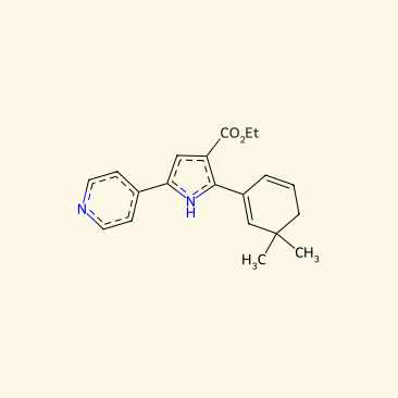 CCOC(=O)c1cc(-c2ccncc2)[nH]c1C1=CC(C)(C)CC=C1